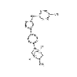 CN1C[C@H]2C[C@@H]1CN2c1ccc(-n2cnc(Nc3cnc(C#N)cn3)c2)cc1